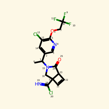 CC(c1cnc(OCC(F)(F)F)c(Cl)c1)N1CC2(C(=N)Cl)C=CC2C1=O